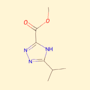 COC(=O)c1nnc(C(C)C)[nH]1